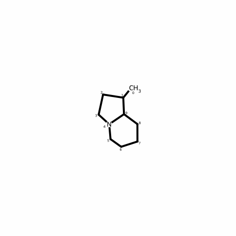 CC1CCN2CCCCC12